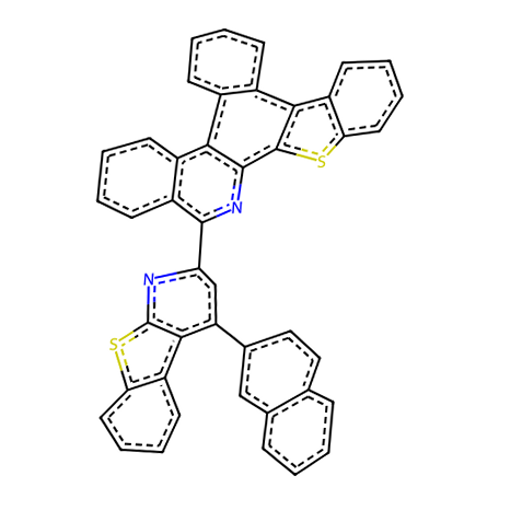 c1ccc2cc(-c3cc(-c4nc5c6sc7ccccc7c6c6ccccc6c5c5ccccc45)nc4sc5ccccc5c34)ccc2c1